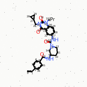 C=Cc1ccc(C(=O)NC2CCCN(C(=O)Nc3ccc4c(c3)c(=O)n(CC3CC3)c(=O)n4C(C)C)C2)cc1